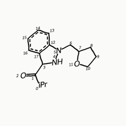 CC(C)C(=O)C1NN(CC2CCCO2)c2ccccc21